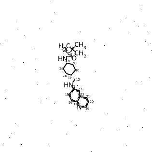 CC(C)(C)S(=O)(=O)N[C@H]1CC[C@H](CNc2ccc3ncccc3c2)CC1